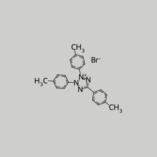 Cc1ccc(-c2nn(-c3ccc(C)cc3)[n+](-c3ccc(C)cc3)n2)cc1.[Br-]